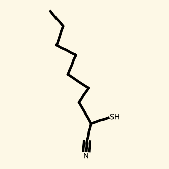 CCCCCCCC(S)C#N